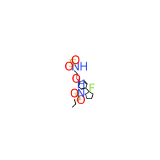 CCCS(=O)(=O)NC1CCCC1(F)c1ccc(OCCNS(C)(=O)=O)cc1